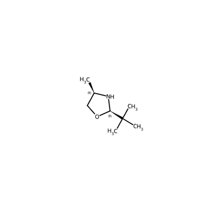 C[C@@H]1CO[C@H](C(C)(C)C)N1